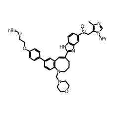 CCCCOCCOc1ccc(-c2ccc3c(c2)/C=C(/c2nc4cc([S@+]([O-])Cc5c(C)ncn5CCC)ccc4[nH]2)CCCN3CN2CCOCC2)cc1